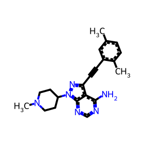 Cc1ccc(C)c(C#Cc2nn(C3CCN(C)CC3)c3ncnc(N)c23)c1